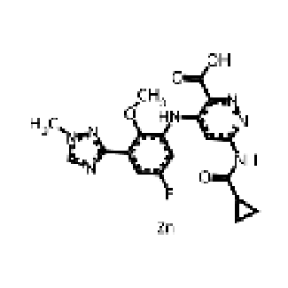 COc1c(Nc2cc(NC(=O)C3CC3)nnc2C(=O)O)cc(F)cc1-c1ncn(C)n1.[Zn]